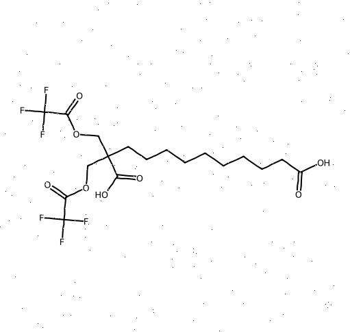 O=C(O)CCCCCCCCCC(COC(=O)C(F)(F)F)(COC(=O)C(F)(F)F)C(=O)O